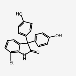 CCc1cccc2c1NC(=O)C2(c1ccc(O)cc1)c1ccc(O)cc1